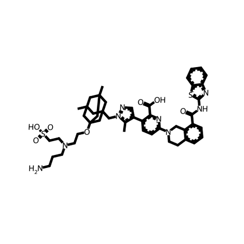 Cc1c(-c2ccc(N3CCc4cccc(C(=O)Nc5nc6ccccc6s5)c4C3)nc2C(=O)O)cnn1CC12CC3(C)CC(C)(C1)CC(OCCN(CCCN)CCS(=O)(=O)O)(C3)C2